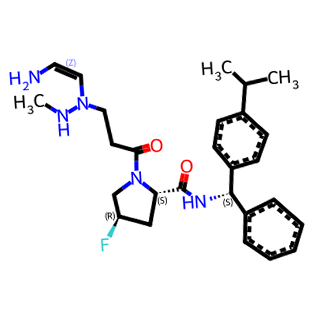 CNN(/C=C\N)CCC(=O)N1C[C@H](F)C[C@H]1C(=O)N[C@@H](c1ccccc1)c1ccc(C(C)C)cc1